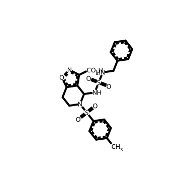 Cc1ccc(S(=O)(=O)N2CCc3onc(C(=O)O)c3C2NS(=O)(=O)NCc2ccccc2)cc1